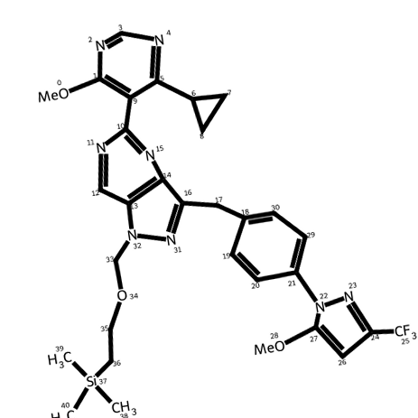 COc1ncnc(C2CC2)c1-c1ncc2c(n1)c(Cc1ccc(-n3nc(C(F)(F)F)cc3OC)cc1)nn2COCC[Si](C)(C)C